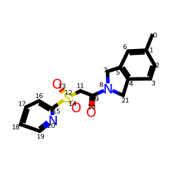 Cc1ccc2c(c1)CN(C(=O)CS(=O)(=O)c1ccccn1)C2